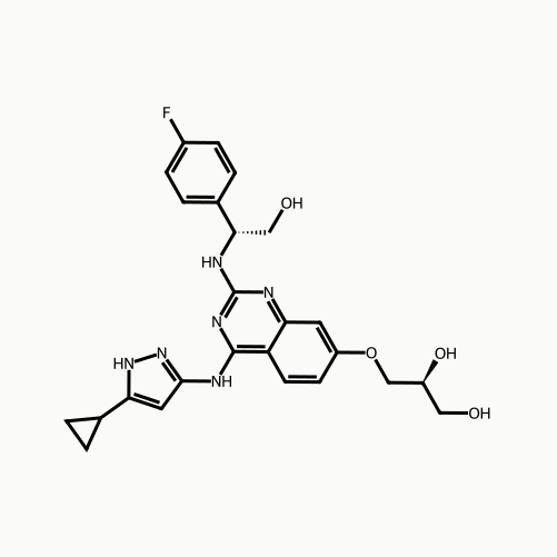 OC[C@H](O)COc1ccc2c(Nc3cc(C4CC4)[nH]n3)nc(N[C@@H](CO)c3ccc(F)cc3)nc2c1